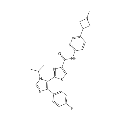 CC(C)n1cnc(-c2ccc(F)cc2)c1-c1nc(C(=O)Nc2ccc(C3CN(C)C3)cn2)cs1